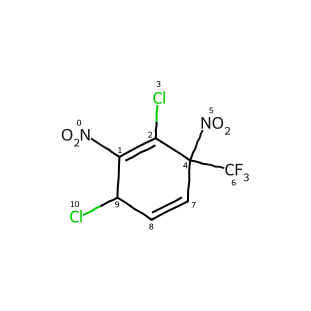 O=[N+]([O-])C1=C(Cl)C([N+](=O)[O-])(C(F)(F)F)C=CC1Cl